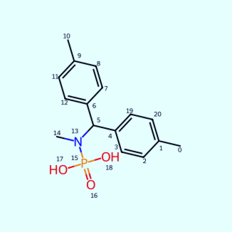 Cc1ccc(C(c2ccc(C)cc2)N(C)P(=O)(O)O)cc1